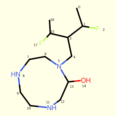 CC(F)C(CN1CCNCCNCC1O)C(C)F